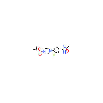 Cc1nc(-c2ccc(N3CCN(C(=O)OC(C)(C)C)CC3)c(F)c2)no1